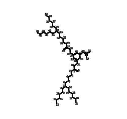 C=C(CCCCCC(CCCCCC)CCCCCC)CCc1cc(CCC(=C)CCCCCC(CCCCCC)CCCCCC)cc(CN(C)C)c1